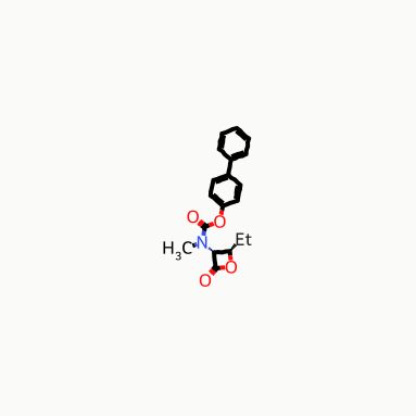 CC[C@H]1OC(=O)[C@@H]1N(C)C(=O)Oc1ccc(-c2ccccc2)cc1